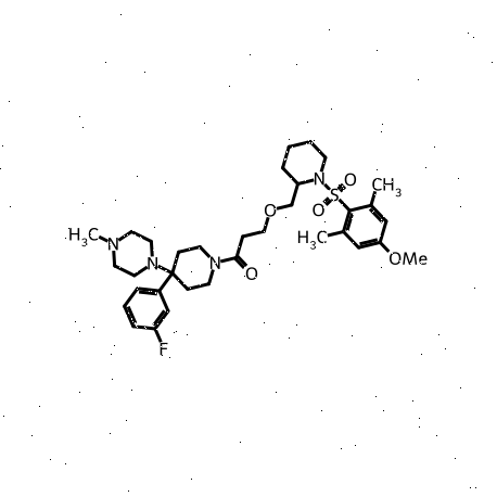 COc1cc(C)c(S(=O)(=O)N2CCCCC2COCCC(=O)N2CCC(c3cccc(F)c3)(N3CCN(C)CC3)CC2)c(C)c1